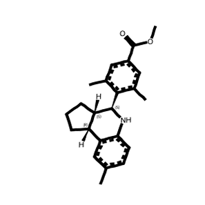 COC(=O)c1cc(C)c([C@H]2Nc3ccc(C)cc3[C@@H]3CCC[C@H]23)c(C)c1